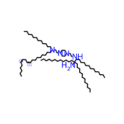 CCCCC/C=C\C/C=C\CCCCCCCCN(CCCCCCCCCCCC)CCN1CCN(CCNC(CCCCCCCCCCCC)C(N)(CCCCCCCCCCCC)CCCCCCCCCCCC)CC1